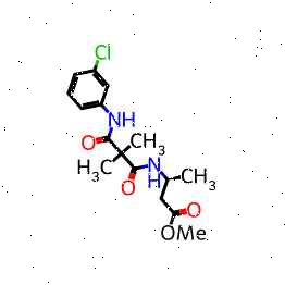 COC(=O)C[C@H](C)NC(=O)C(C)(C)C(=O)Nc1cccc(Cl)c1